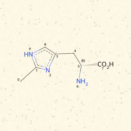 Cc1nc(C[C@@H](N)C(=O)O)c[nH]1